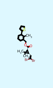 Cc1c(COC(=O)[C@@H]2[C@H](C=C(Br)Br)C2(C)C)cccc1-c1cccs1